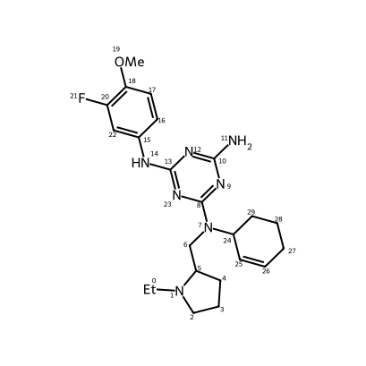 CCN1CCCC1CN(c1nc(N)nc(Nc2ccc(OC)c(F)c2)n1)C1C=CCCC1